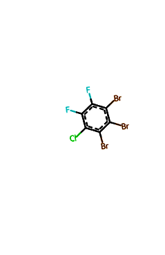 Fc1c(F)c(Br)c(Br)c(Br)c1Cl